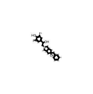 Oc1c(F)cc(C(O)CN2CC3CC(O)(Cc4ccccc4)CC3C2)cc1F